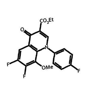 CCOC(=O)c1cn(-c2ccc(F)cc2)c2c(OC)c(F)c(F)cc2c1=O